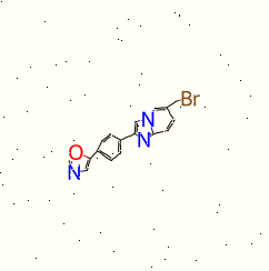 BrCc1ccc2nc(-c3ccc(-c4cnco4)cc3)cn2c1